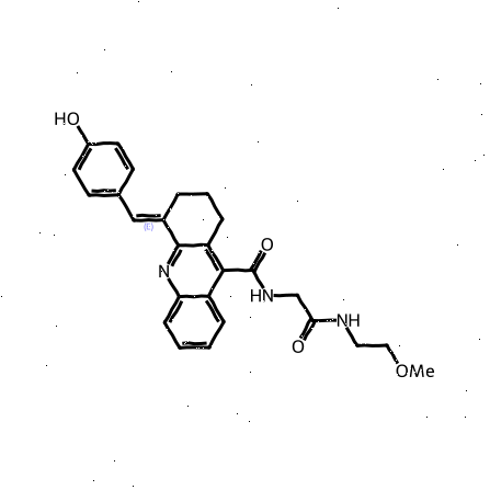 COCCNC(=O)CNC(=O)c1c2c(nc3ccccc13)/C(=C/c1ccc(O)cc1)CCC2